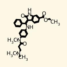 CCOC(=O)c1ccc2c(c1)NC(=O)C2=C(Nc1ccc(N(C)C(=O)CCN(C)C)cc1)c1ccccc1